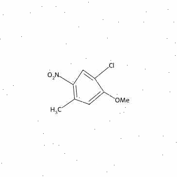 COc1cc(C)c([N+](=O)[O-])cc1Cl